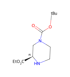 CCOC(=O)[C@H]1CN(C(=O)OC(C)(C)C)CCN1